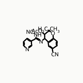 CC(=O)OC1C(N=C(NC#N)c2cccnc2)c2cc(C#N)ccc2OC1(C)C